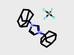 F[B-](F)(F)F.c1c[n+](C23CC4CC(CC(C4)C2)C3)cn1C12CC3CC(CC(C3)C1)C2